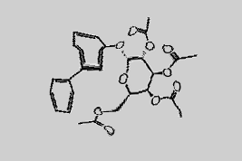 CC(=O)OC[C@H]1O[C@H](Oc2cccc(-c3ccccc3)c2)[C@H](OC(C)=O)[C@@H](OC(C)=O)[C@H]1OC(C)=O